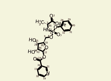 COC(=O)[C@@H](C)NP(=O)(OC[C@H]1OC(OC(=O)c2cccnc2)[C@H](O)[C@@H]1O)Oc1ccccc1